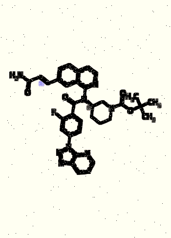 CC(C)(C)OC(=O)N1CCC[C@@H](N(C(=O)c2ccc(-n3nnc4cccnc43)cc2F)c2nccc3ccc(/C=C/C(N)=O)cc23)C1